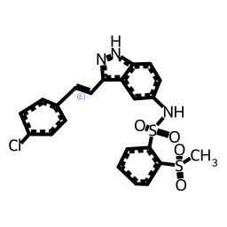 CS(=O)(=O)c1ccccc1S(=O)(=O)Nc1ccc2[nH]nc(/C=C/c3ccc(Cl)cc3)c2c1